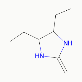 C=C1NC(CC)C(CC)N1